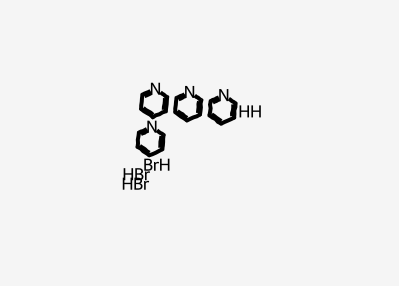 Br.Br.Br.[HH].c1ccncc1.c1ccncc1.c1ccncc1.c1ccncc1